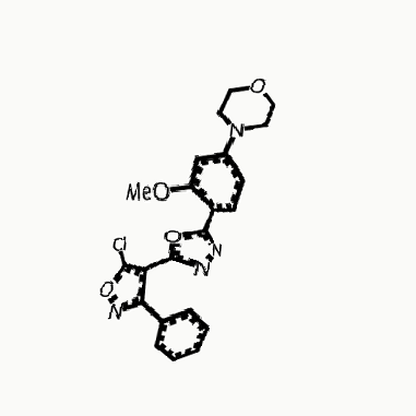 COc1cc(N2CCOCC2)ccc1-c1nnc(-c2c(-c3ccccc3)noc2Cl)o1